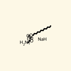 CCCCCCCCCCCCOS(=O)(=O)OC(=O)[C@H](C)N.[NaH]